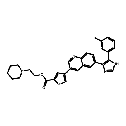 Cc1cccc(-c2[nH]cnc2-c2ccc3ncc(-c4csc(C(=O)OCCN5CCCCC5)c4)cc3c2)n1